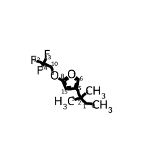 CCC(C)(C)c1coc(OCC(F)(F)F)c1